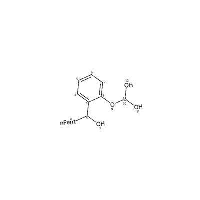 CCCCCC(O)c1ccccc1OB(O)O